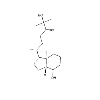 C[C@H](CC[C@H](F)C(C)(C)O)[C@H]1CC[C@H]2[C@@H](O)CCC[C@]12C